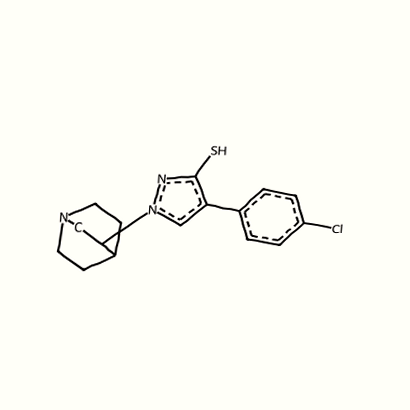 Sc1nn(C2CN3CCC2CC3)cc1-c1ccc(Cl)cc1